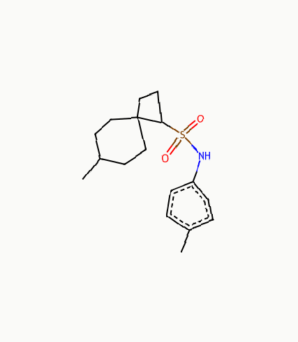 Cc1ccc(NS(=O)(=O)C2CCC23CCC(C)CC3)cc1